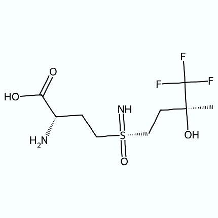 C[C@](O)(CC[S@](=N)(=O)CC[C@H](N)C(=O)O)C(F)(F)F